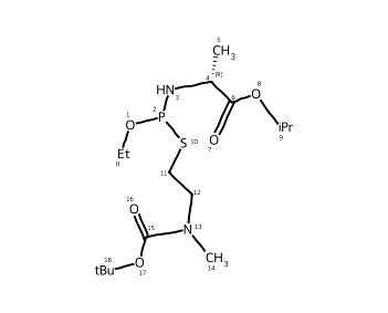 CCOP(N[C@H](C)C(=O)OC(C)C)SCCN(C)C(=O)OC(C)(C)C